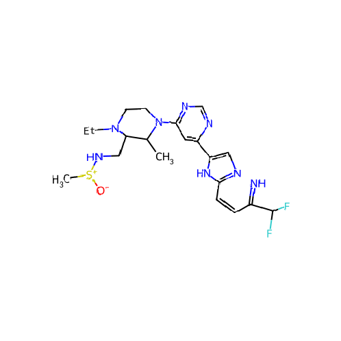 CCN1CCN(c2cc(-c3cnc(/C=C\C(=N)C(F)F)[nH]3)ncn2)C(C)C1CN[S+](C)[O-]